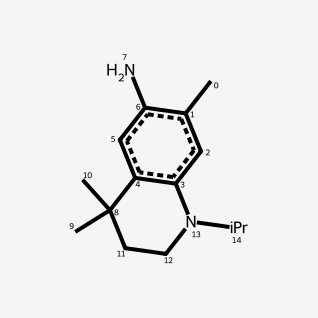 Cc1cc2c(cc1N)C(C)(C)CCN2C(C)C